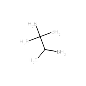 BC(B)C(B)(B)B